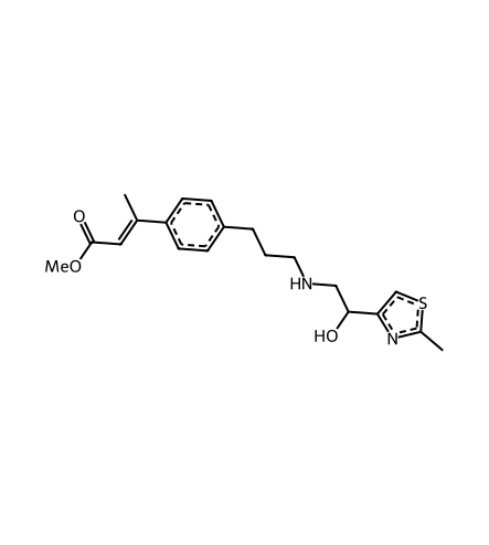 COC(=O)C=C(C)c1ccc(CCCNCC(O)c2csc(C)n2)cc1